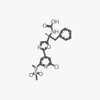 CN(c1cc(-c2ncc([C@@](C)(Cc3ccccc3)NC(=O)O)o2)cc(Cl)n1)S(C)(=O)=O